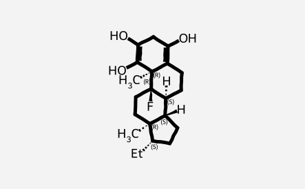 CC[C@H]1CC[C@H]2[C@@H]3CCC4=C(O)CC(O)=C(O)[C@]4(C)[C@@]3(F)CC[C@]12C